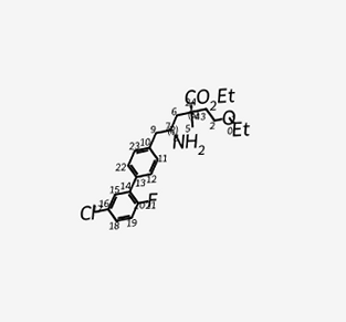 CCOCC[C@](C)(C[C@H](N)Cc1ccc(-c2cc(Cl)ccc2F)cc1)C(=O)OCC